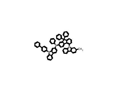 CC1C=Cc2c(n(-c3cccc4c3-c3ccc(N(c5ccccc5)c5ccc6c7ccccc7n(-c7ccc(-c8ccccc8)cc7)c6c5)cc3C4(c3ccccc3)c3ccccc3)c3ccccc23)C1